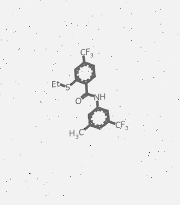 CCSc1cc(C(F)(F)F)ccc1C(=O)Nc1cc(C)cc(C(F)(F)F)c1